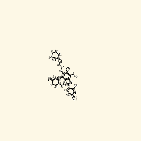 CCn1c(=O)n(CCCOC2CCCCO2)c(=O)c2c1nc(-c1ccc(Cl)nc1C)n2Cc1ccc(F)cc1